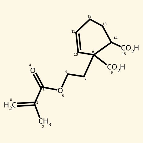 C=C(C)C(=O)OCCC1(C(=O)O)C=CCCC1C(=O)O